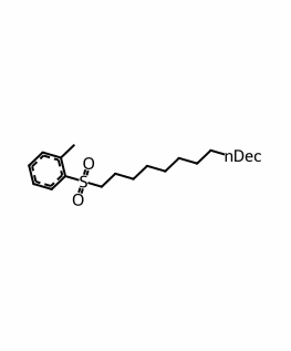 CCCCCCCCCCCCCCCCCCS(=O)(=O)c1ccccc1C